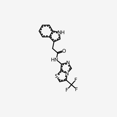 O=C(Cc1c[nH]c2ccccc12)Nc1ncn2c(C(F)(F)F)csc12